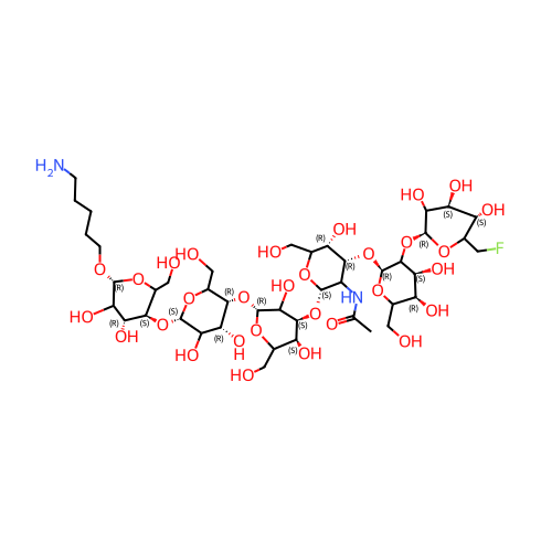 CC(=O)NC1[C@H](O[C@@H]2C(O)[C@@H](O[C@H]3C(CO)O[C@@H](O[C@@H]4C(CO)O[C@@H](OCCCCCN)C(O)[C@H]4O)C(O)[C@H]3O)OC(CO)[C@@H]2O)OC(CO)[C@H](O)[C@@H]1O[C@@H]1OC(CO)[C@H](O)[C@H](O)C1O[C@@H]1OC(CF)[C@@H](O)[C@H](O)C1O